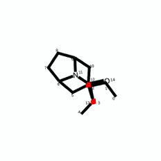 CCC1(SC)CC2CCC(C1)N2C(C)=O